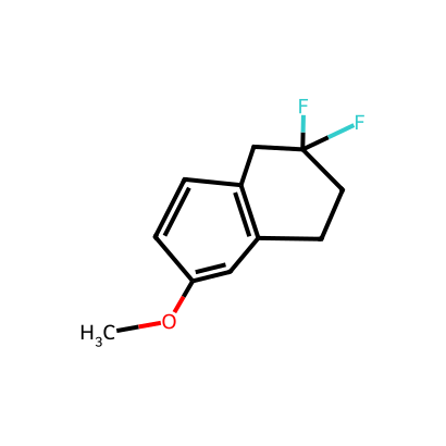 COc1ccc2c(c1)CCC(F)(F)C2